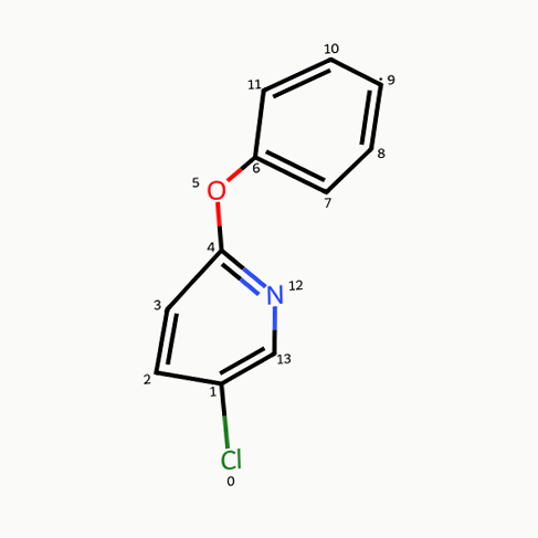 Clc1ccc(Oc2cc[c]cc2)nc1